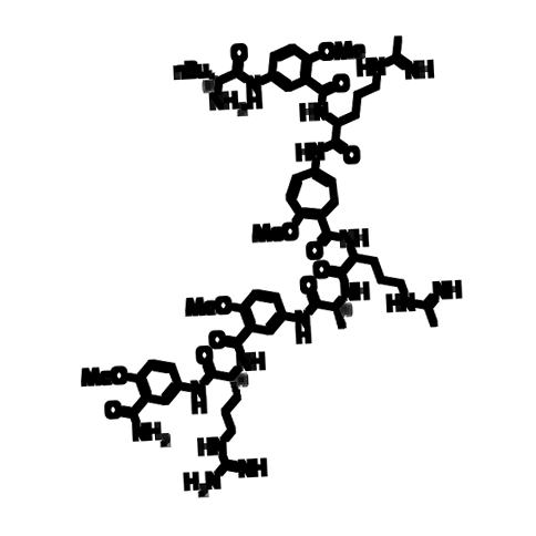 CCCC[C@@H](N)C(=O)Nc1ccc(OC)c(C(=O)NC(CCCNC(C)=N)C(=O)NC2=CCC(C(=O)NC(CCCNC(C)=N)C(=O)N[C@@H](C)C(=O)Nc3ccc(OC)c(C(=O)N[C@H](CCCNC(=N)N)C(=O)Nc4ccc(OC)c(C(N)=O)c4)c3)=C(OC)C=C2)c1